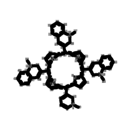 CN1C=CC=C(c2c3nc(c(C4=Cc5ccccc5N(C)C4)c4ccc([nH]4)c(C4=Cc5ccccc5N(C)C4)c4nc(c(C5=Cc6ccccc6N(C)C5)c5ccc2[nH]5)C=C4)C=C3)C1